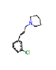 Clc1cccc(C=CCN2C[CH]CCC2)c1